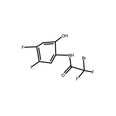 O=C(Nc1cc(I)c(F)cc1O)C(F)(F)Br